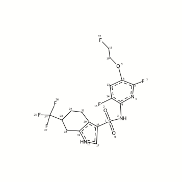 O=S(=O)(Nc1nc(F)c(OCCF)cc1F)c1c[nH]c2c1CCC(C(F)(F)F)C2